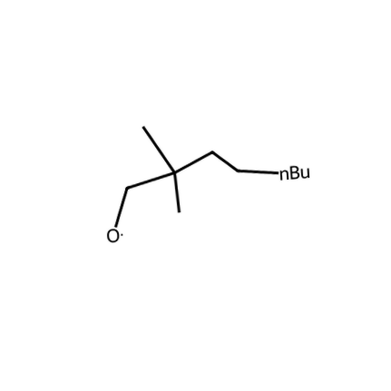 CCCCCCC(C)(C)C[O]